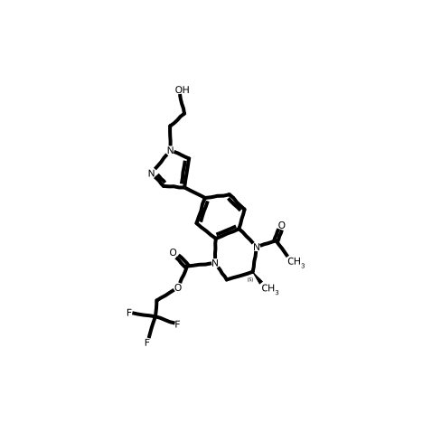 CC(=O)N1c2ccc(-c3cnn(CCO)c3)cc2N(C(=O)OCC(F)(F)F)C[C@@H]1C